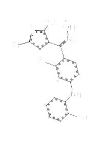 Cc1ccccc1Nc1ccc(/C(=N/O)c2cc(Cl)sc2Cl)c(Cl)c1